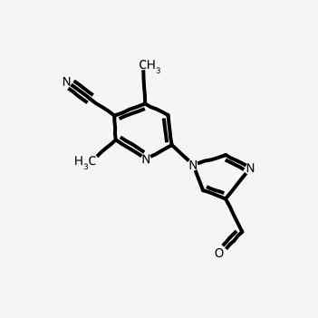 Cc1cc(-n2cnc(C=O)c2)nc(C)c1C#N